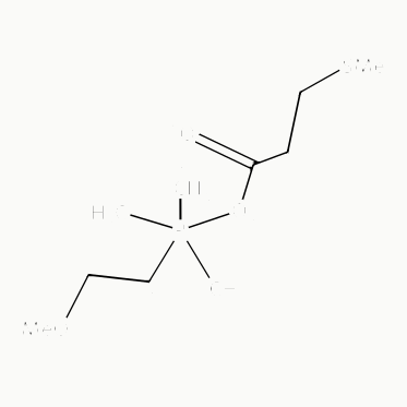 COCCP(C)(C)(C)OC(=O)CCSC